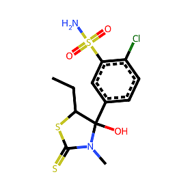 CCC1SC(=S)N(C)C1(O)c1ccc(Cl)c(S(N)(=O)=O)c1